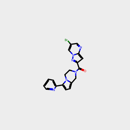 O=C(c1cc2ncc(Br)cn2n1)N1CCn2c(ccc2-c2ccccn2)C1